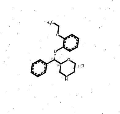 CCOc1ccccc1O[C@@H](c1ccccc1)[C@@H]1CNCCO1.Cl